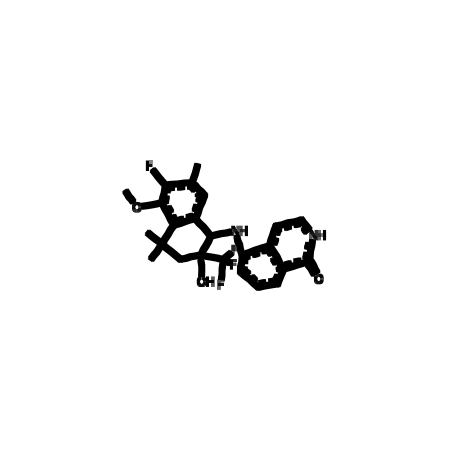 COc1c(F)c(C)cc2c1C(C)(C)CC(O)(C(F)(F)F)C2Nc1cccc2c(=O)[nH]ccc12